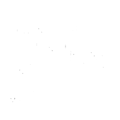 C=CC1CC1(NC(=O)C1CC(Oc2cc(C3CC3)nc3cc(OC)ccc23)CN1C(=O)C(NC(=O)OC(C)(C)C)C(C)(C)C)C(=O)NS(=O)(=O)C1(CC#CCC)CC1